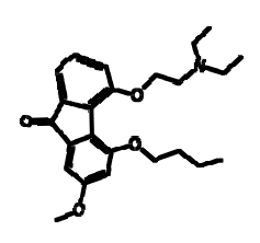 CCCCOc1cc(OC)cc2c1-c1c(OCCN(CC)CC)cccc1C2=O